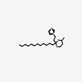 CCCCCCCCCCCCC1(CCn2ccnc2)SCCC(C)S1